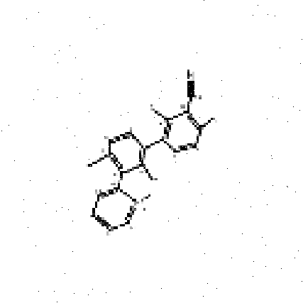 Cc1ccc(-c2ccc(C)c(-c3cccc[n+]3C)c2C)c(C)c1C#N